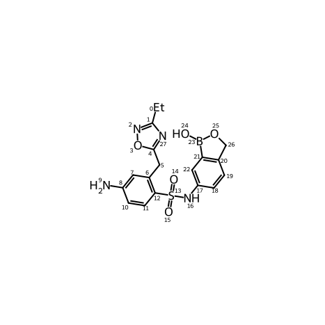 CCc1noc(Cc2cc(N)ccc2S(=O)(=O)Nc2ccc3c(c2)B(O)OC3)n1